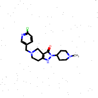 CN1CCC(n2[nH]c3c(c2=O)CN(Cc2ccc(Cl)nc2)CC3)CC1